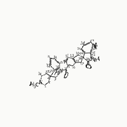 CN1CCC(CNC(=O)c2cc3c(cn2)CC2(C3)C(=O)Nc3ncccc32)(c2ccccc2)CC1